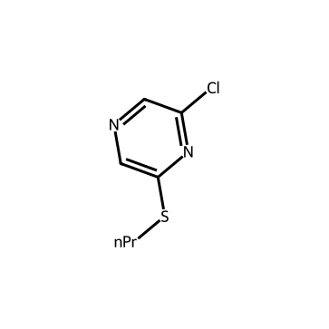 CCCSc1cncc(Cl)n1